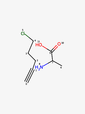 C#CCCCCl.CC(N)C(=O)O